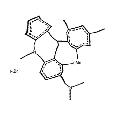 Br.COc1c(N(C)C)ccc2c1C(c1c(C)cc(C)cc1C)c1ccccc1N2C